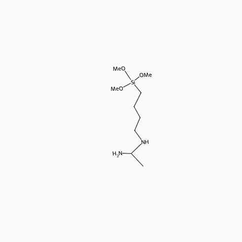 CO[Si](CCCCNC(C)N)(OC)OC